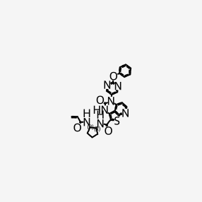 C=CC(=O)N[C@@H]1CCC[C@H]1NC(=O)c1sc2nccc3c2c1NC(=O)N3c1cnc(Oc2ccccc2)nc1